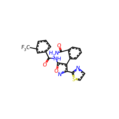 NC(=O)c1ccccc1-c1c(-c2nccs2)noc1NC(=O)c1cccc(C(F)(F)F)c1